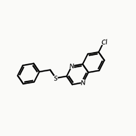 Clc1ccc2ncc(SCc3ccccc3)nc2c1